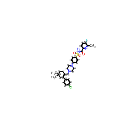 Cc1nc(C(=O)NS(=O)(=O)c2ccc(N3CCN(CC4=C(c5ccc(Cl)cc5)CC(C)(C)CC4)CC3)cc2)ccc1F